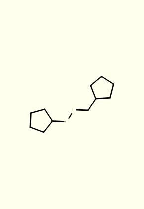 C1CCC(CPPC2CCCC2)C1